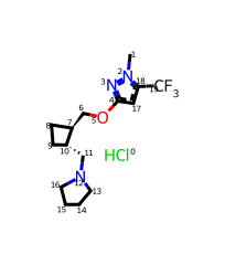 Cl.Cn1nc(OC[C@@H]2CC[C@H]2CN2CCCC2)cc1C(F)(F)F